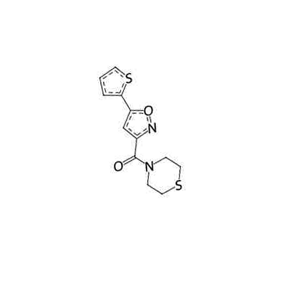 O=C(c1cc(-c2cccs2)on1)N1CCSCC1